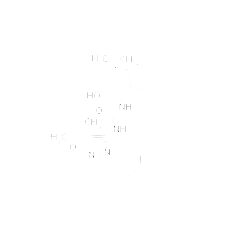 COc1nn(-c2ccccc2)c(NC(=O)NC2c3ccccc3C(C)(C)CC2O)c1C